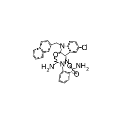 NC(=S)N(/N=C1\C(=O)N(Cc2ccc3ccccc3c2)c2ccc(Cl)cc21)c1ccccc1S(N)(=O)=O